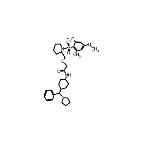 COc1cc(C)c(S(=O)(=O)N2CCCCC2COCC(=O)NC2CCC(C(c3ccccc3)N3CCCC3)CC2)c(C)c1